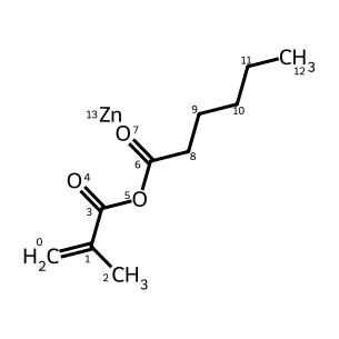 C=C(C)C(=O)OC(=O)CCCCC.[Zn]